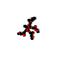 CC1(C)c2ccccc2-c2ccc(-n3c4ccccc4c4cc(-c5ccc6c(c5)c5cc(-c7ccc8c(c7)c7ccccc7n8-c7ccc8c(c7)C(C)(C)c7ccccc7-8)ccc5n6-c5cc(-n6c7ccc(-c8ccc9c(c8)c8ccccc8n9-c8ccc9c(c8)C(C)(C)c8ccccc8-9)cc7c7cc(-c8ccc9c(c8)c8ccccc8n9-c8ccc9c(c8)C(C)(C)c8ccccc8-9)ccc76)nc(-c6ccccc6)n5)ccc43)cc21